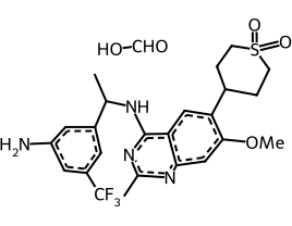 COc1cc2nc(C)nc(NC(C)c3cc(N)cc(C(F)(F)F)c3)c2cc1C1CCS(=O)(=O)CC1.O=CO